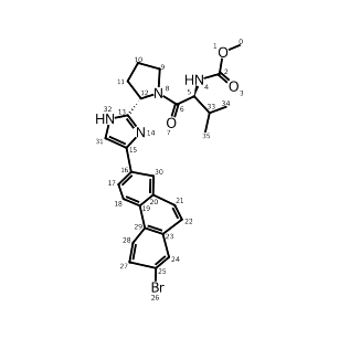 COC(=O)N[C@H](C(=O)N1CCC[C@H]1c1nc(-c2ccc3c(ccc4cc(Br)ccc43)c2)c[nH]1)C(C)C